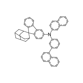 c1cc(-c2cccc3ccccc23)cc(N(c2ccc3c(c2)-c2ccccc2C32C3CC4CC(C3)CC2C4)c2ccc3ccccc3c2)c1